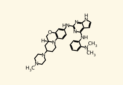 CN1CCN(C2CCN3c4ccc(Nc5nc(Nc6ccccc6N(C)C)c6cc[nH]c6n5)cc4OC[C@H]3C2)CC1